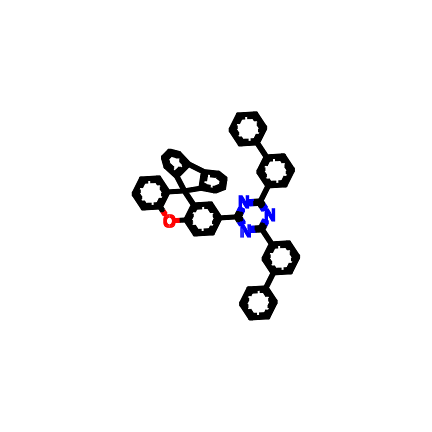 c1ccc(-c2cccc(-c3nc(-c4cccc(-c5ccccc5)c4)nc(-c4ccc5c(c4)C4(c6ccccc6O5)c5ccccc5-c5ccccc54)n3)c2)cc1